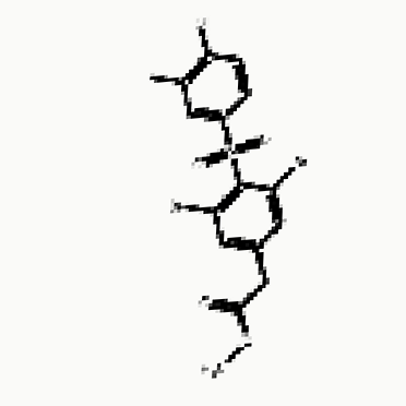 COC(=O)Cc1cc(Br)c(S(=O)(=O)c2ccc(O)c(I)c2)c(Br)c1